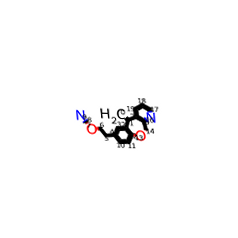 C=C1c2cc(CCOC#N)ccc2OCc2ncccc21